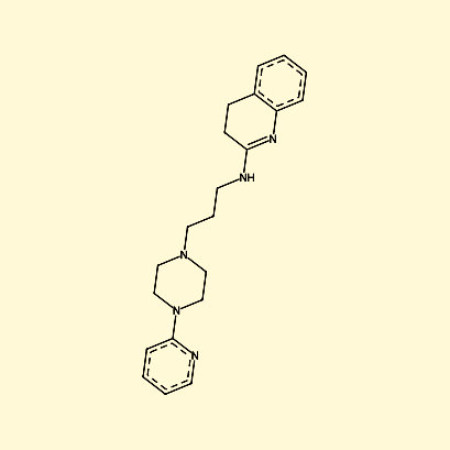 c1ccc(N2CCN(CCCNC3=Nc4ccccc4CC3)CC2)nc1